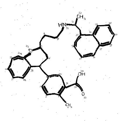 Cc1ccc(C2CC(CCNC(C)c3cccc4ccccc34)Oc3ccccc32)cc1C(=O)O